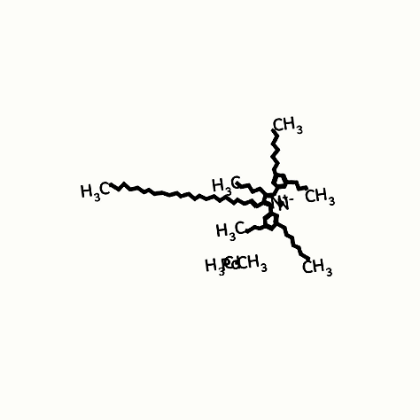 CCCCCCCCCCCCCCCCCCCCCCCC=CC1=C(c2cc(CCCC)cc(CCCCCCCC)c2)[N+](=[N-])C(c2cc(CCCC)cc(CCCCCCCC)c2)=C1CCCCC.[CH3][Pd][CH3]